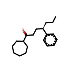 CCC[C@H](CCC(=O)C1CCCCCC1)c1ccccc1